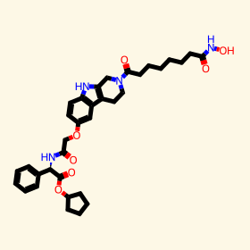 O=C(CCCCCCC(=O)N1CCc2c([nH]c3ccc(OCC(=O)N[C@H](C(=O)OC4CCCC4)c4ccccc4)cc23)C1)NO